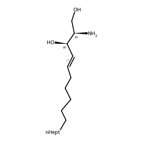 CCCCCCCCCCCC/C=C/[C@@H](O)[C@H](N)CO